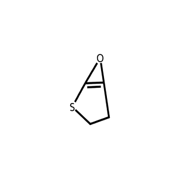 C1CC2=C(O2)S1